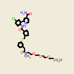 CN(CCOCCOCCOCCC(=O)O)C(=O)Cc1cccc(SCc2cccc(C(=O)Nc3ccc(Cl)cc3-c3cc(C(N)=O)ccn3)c2)c1